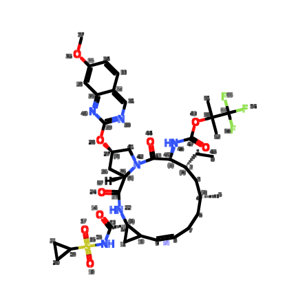 CC[C@@H]1C[C@H](C)CC/C=C\C2C[C@@]2(C(=O)NS(=O)(=O)C2CC2)NC(=O)[C@@H]2C[C@@H](Oc3ncc4ccc(OC)cc4n3)CN2C(=O)[C@H]1NC(=O)OC(C)(C)C(F)(F)F